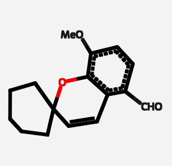 COc1ccc(C=O)c2c1OC1(C=C2)CCCCC1